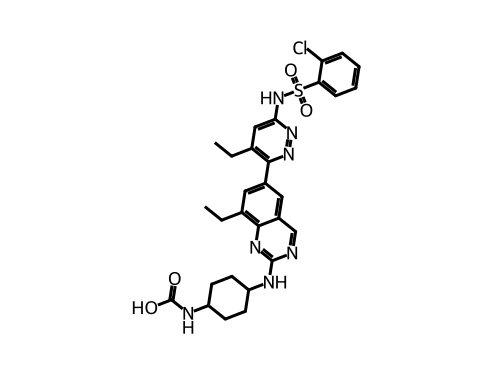 CCc1cc(NS(=O)(=O)c2ccccc2Cl)nnc1-c1cc(CC)c2nc(NC3CCC(NC(=O)O)CC3)ncc2c1